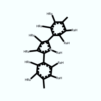 Cc1[c]([RaH])[c]([RaH])c(-c2[c]([RaH])[c]([RaH])c(-c3[c]([RaH])[c]([RaH])c(C)[c]([RaH])[c]3[RaH])[n]2[RaH])[c]([RaH])[c]1[RaH]